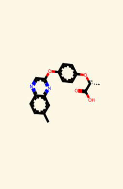 Cc1ccc2ncc(Oc3ccc(O[C@H](C)C(=O)O)cc3)nc2c1